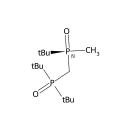 CC(C)(C)P(=O)(C[P@@](C)(=O)C(C)(C)C)C(C)(C)C